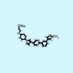 COCCOC1CCC(n2cc(-c3cnc(-c4cccc(-c5cnn(C)c5)c4)nc3)cn2)CC1